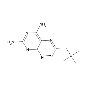 CC(C)(C)Cc1cnc2nc(N)nc(N)c2n1